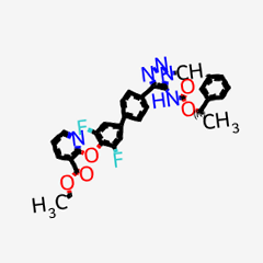 CCOC(=O)c1cccnc1Oc1c(F)cc(-c2ccc(-c3nnn(C)c3NC(=O)O[C@H](C)c3ccccc3)cc2)cc1F